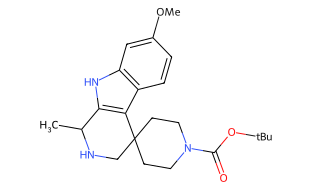 COc1ccc2c3c([nH]c2c1)C(C)NCC31CCN(C(=O)OC(C)(C)C)CC1